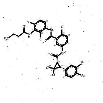 O=C(CCC(F)(F)F)Nc1c(F)ccc(NC(=O)c2cc(NC(=O)[C@H]3[C@H](c4ccc(F)c(Cl)c4)C3(Cl)Cl)ccc2Cl)c1F